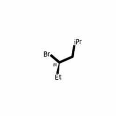 CC[C@@H](Br)CC(C)C